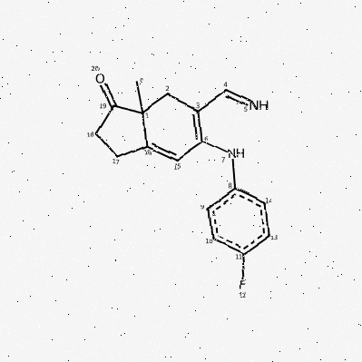 CC12CC(C=N)=C(Nc3ccc(F)cc3)C=C1CCC2=O